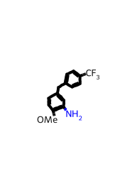 COc1ccc(Cc2ccc(C(F)(F)F)cc2)cc1N